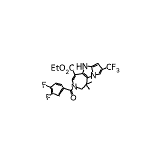 CCOC(=O)C1=CN(C(=O)c2ccc(F)c(F)c2)CC(C)(C)c2c1[nH]c1cc(C(F)(F)F)cn21